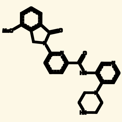 COc1cccc2c1CN(c1cccc(C(=O)Nc3cnccc3N3CCNCC3)n1)C2=O